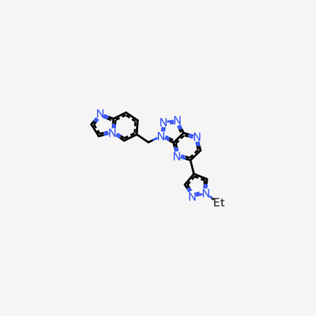 CCn1cc(-c2cnc3nnn(Cc4ccc5nccn5c4)c3n2)cn1